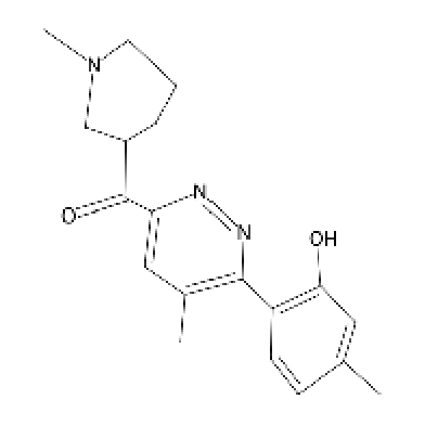 Cc1ccc(-c2nnc(C(=O)C3CCCN(C)C3)cc2C)c(O)c1